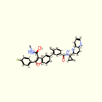 CNC(=O)c1c(-c2ccc(F)cc2)oc2ccc(-c3cc(C(=O)NC4(c5ccc6ncccc6n5)CC4)ccc3C)cc12